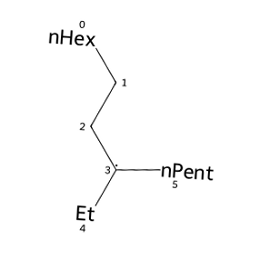 CCCCCCCC[C](CC)CCCCC